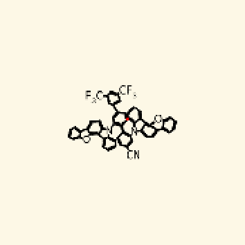 N#Cc1ccc(-c2ccc(-c3cc(C(F)(F)F)cc(C(F)(F)F)c3)cc2-n2c3ccccc3c3c4oc5ccccc5c4ccc32)c(-n2c3ccccc3c3c4oc5ccccc5c4ccc32)c1